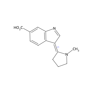 CN1CCC/C1=C1/C=Nc2cc(C(=O)O)ccc21